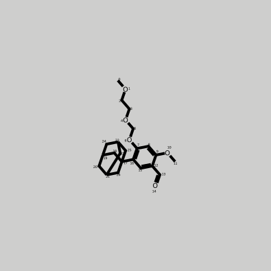 COCCOCOc1cc(OC)c(C=O)cc1C12CC3CC(CC(C3)C1)C2